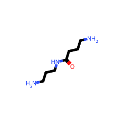 NCCCNC(=O)CCCN